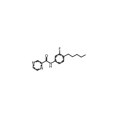 CCCCCc1ccc(NC(=O)c2cnccn2)cc1F